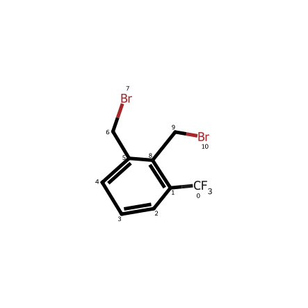 FC(F)(F)c1cccc(CBr)c1CBr